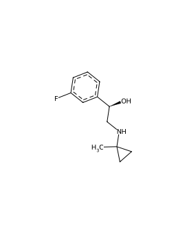 CC1(NC[C@H](O)c2cccc(F)c2)CC1